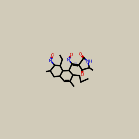 CCCC1C(C)=CC2CC(C)C(N=O)C(CC)C2C1/C(N=O)=C1/C(=O)NC(C)C1=O